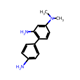 CN(C)c1ccc(-c2ccc(N)cc2)c(N)c1